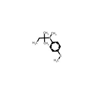 CCC(C)(C)N(C)c1ccc(SC)cc1